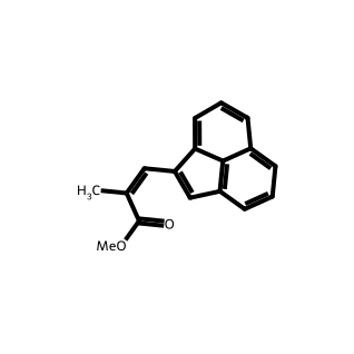 COC(=O)C(C)=CC1=Cc2cccc3cccc1c23